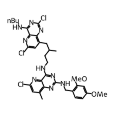 CCCCNc1nc(Cl)nc2c(CC(C)CCNc3nc(NCc4ccc(OC)cc4OC)nc4c(C)cc(Cl)nc34)cc(Cl)nc12